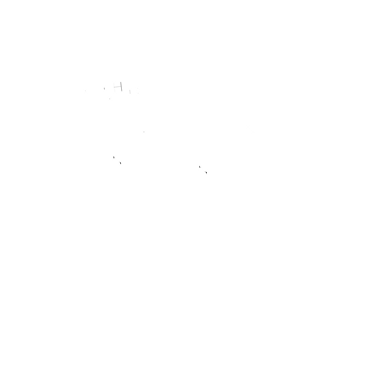 O=C(O)CC(Cc1ccccc1)NC(=O)c1csc(-c2ccccc2F)n1